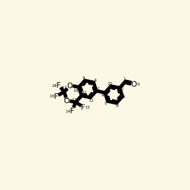 O=Cc1cccc(-c2ccc3c(c2)C(F)(F)OC(F)(F)O3)c1